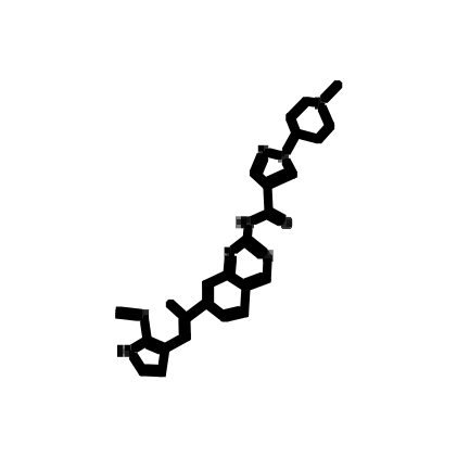 C=Nc1[nH]ccc1/C=C(\C)c1ccc2cnc(NC(=O)c3cnn(C4CCN(C)CC4)c3)nc2c1